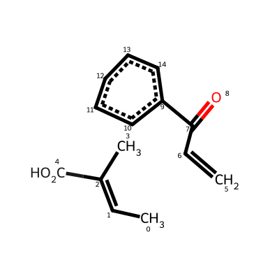 C/C=C(\C)C(=O)O.C=CC(=O)c1ccccc1